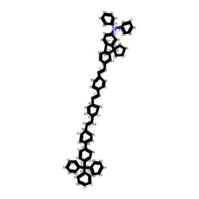 C(=C\c1ccc(/C=C/c2ccc3c(c2)C2(CCCC2)c2cc(N(c4ccccc4)c4ccccc4)ccc2-3)cc1)/c1ccc(/C=C/c2ccc(-c3ccc(C(c4ccccc4)(c4ccccc4)c4ccccc4)cc3)cc2)cc1